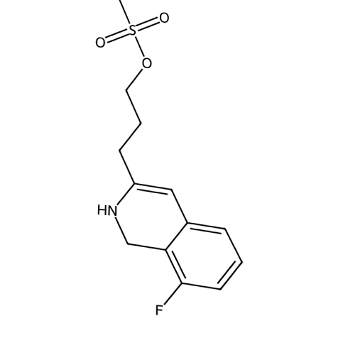 CS(=O)(=O)OCCCC1=Cc2cccc(F)c2CN1